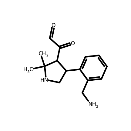 CC1(C)NCC(c2ccccc2CN)C1C(=O)C=O